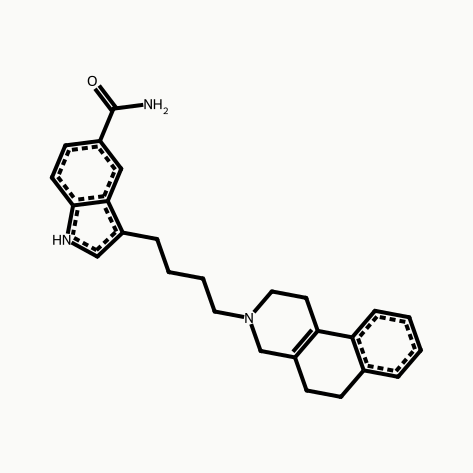 NC(=O)c1ccc2[nH]cc(CCCCN3CCC4=C(CCc5ccccc54)C3)c2c1